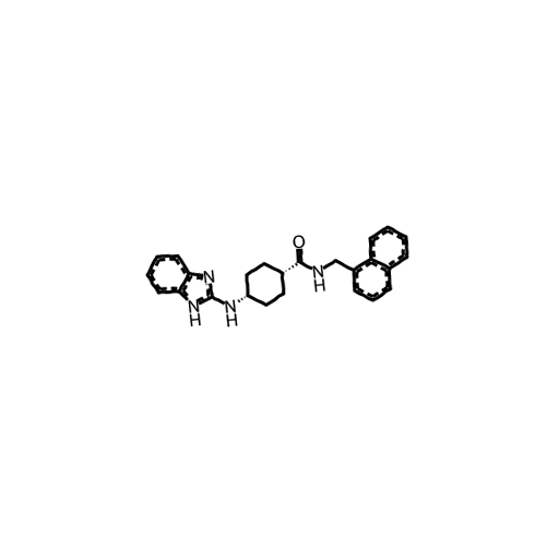 O=C(NCc1cccc2ccccc12)[C@H]1CC[C@@H](Nc2nc3ccccc3[nH]2)CC1